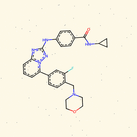 O=C(NC1CC1)c1ccc(Nc2nc3cccc(-c4ccc(CN5CCOCC5)c(F)c4)n3n2)cc1